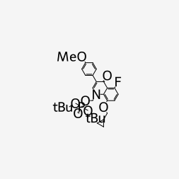 COc1ccc(-c2cn(COP(=O)(OC(C)(C)C)OC(C)(C)C)c3c(OCC4CC4)ccc(F)c3c2=O)cc1